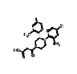 Cc1cc(Cl)ccc1[C@H]1CN(C(=O)CC(=O)O)CCN1c1ncc(Cl)cc1N